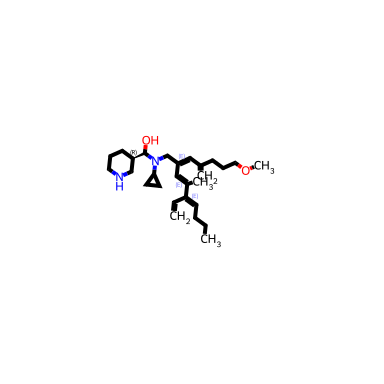 C=CC(=C\CCC)/C(C)=C/C(=C\C(=C)CCCOC)CN(C1CC1)C(O)[C@@H]1CCCNC1